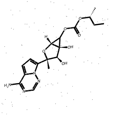 CC[C@@H](C)OC(=O)OC1[C@H]2O[C@@](C)(c3ccc4c(N)ncnn34)[C@H](O)[C@@]12O